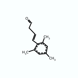 Cc1cc(C)c(C=CC[C]=O)c(C)c1